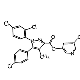 Cc1c(C(=O)Oc2cncc(Cl)c2)nn(-c2ccc(Cl)cc2Cl)c1-c1ccc(Cl)cc1